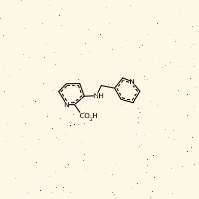 O=C(O)c1ncccc1NCc1cccnc1